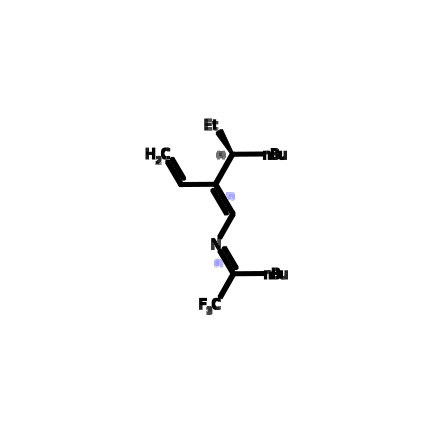 C=C/C(=C\N=C(/CCCC)C(F)(F)F)[C@@H](CC)CCCC